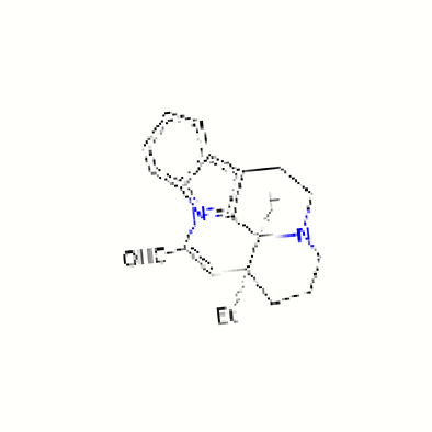 CC[C@@]12C=C([C]=O)n3c4c(c5ccccc53)CCN(CCC1)[C@H]42